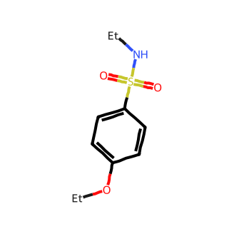 CCNS(=O)(=O)c1ccc(OCC)cc1